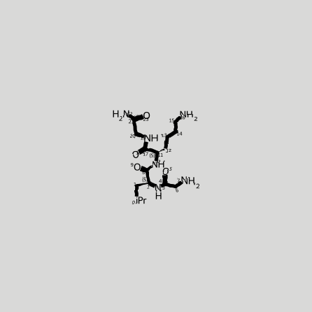 CC(C)C[C@H](NC(=O)CN)C(=O)N[C@@H](CCCCN)C(=O)NCC(N)=O